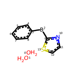 O.O.[B](c1ccccc1)c1nccs1